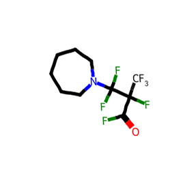 O=C(F)C(F)(C(F)(F)F)C(F)(F)N1CCCCCC1